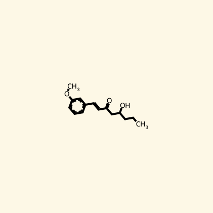 CCCC(O)CC(=O)/C=C/c1cccc(OC)c1